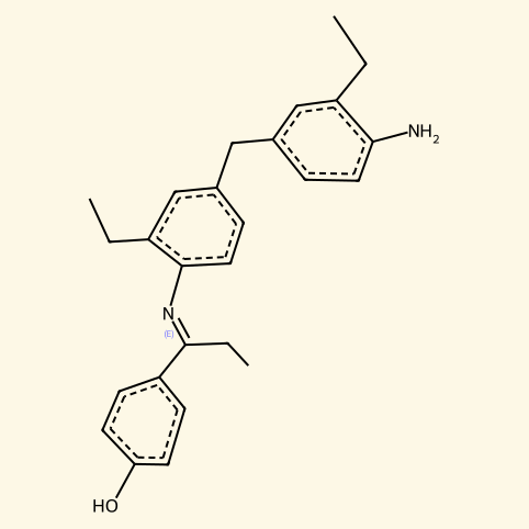 CC/C(=N\c1ccc(Cc2ccc(N)c(CC)c2)cc1CC)c1ccc(O)cc1